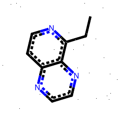 CCc1nccc2nccnc12